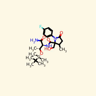 CC1CC(=O)N(c2ccc(F)cc2)C1(CO)C(=O)N[C@H](C(N)=O)[C@@H](C)O[Si](C)(C)C(C)(C)C